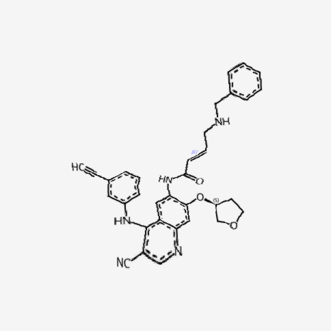 C#Cc1cccc(Nc2c(C#N)cnc3cc(O[C@H]4CCOC4)c(NC(=O)/C=C/CNCc4ccccc4)cc23)c1